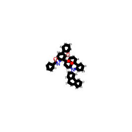 c1ccc(-c2nc3c(-c4ccc(N(c5ccc6ccc7ccccc7c6c5)c5ccccc5-c5ccccc5)cc4)c4oc5ccccc5c4cc3o2)cc1